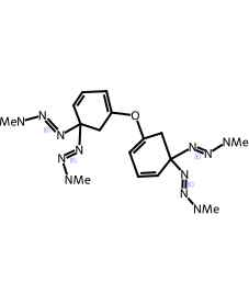 CN/N=N/C1(/N=N/NC)C=CC=C(OC2=CC=CC(/N=N/NC)(/N=N/NC)C2)C1